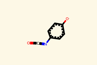 [O]c1ccc(N=C=O)cc1